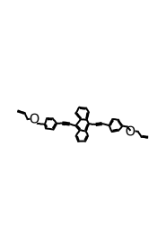 C=CCOCc1ccc(C#Cc2c3ccccc3c(C#Cc3ccc(COCC=C)cc3)c3ccccc23)cc1